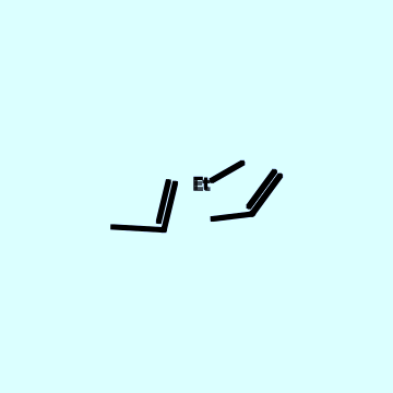 C=CC.C=CC.CCC